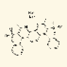 Cc1nc2c(ccc3c(-c4ccccc4)c(S(=O)(=O)[O-])c(C)nc32)c(-c2ccccc2)c1S(=O)(=O)[O-].[Na+].[Na+]